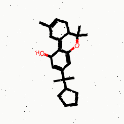 CC1=CCC2C(=C3C(=CC(C(C)(C)C4CCCC4)=CC3O)OC2(C)C)C1